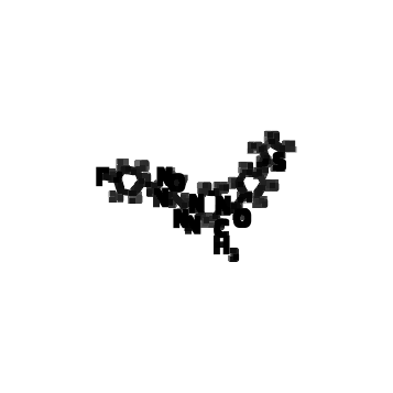 C[C@H]1c2nnc(-c3nc(-c4ccc(F)cc4)no3)n2CCN1C(=O)c1ccc(-c2cccs2)cc1